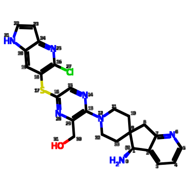 N[C@@H]1c2cccnc2CC12CCN(c1ncc(Sc3cc4[nH]ccc4nc3Cl)nc1CO)CC2